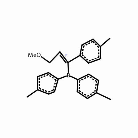 COC/C=C(\B(c1ccc(C)cc1)c1ccc(C)cc1)c1ccc(C)cc1